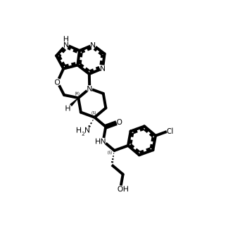 N[C@@]1(C(=O)N[C@@H](CCO)c2ccc(Cl)cc2)CCN2c3ncnc4[nH]cc(c34)OC[C@H]2C1